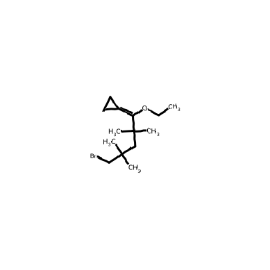 CCOC(=C1CC1)C(C)(C)CC(C)(C)CBr